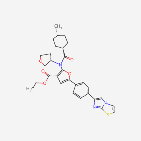 CCOC(=O)c1cc(-c2ccc(-c3cn4ccsc4n3)cc2)oc1N(C(=O)[C@H]1CC[C@H](C)CC1)C1CCOC1